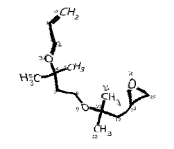 C=CCOC(C)(C)CCOC(C)(C)CC1CO1